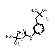 CC(C)(O)Cc1ccnc(NC(=O)OC(C)(C)C)c1